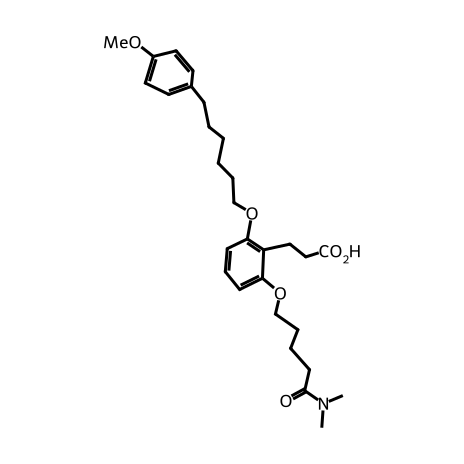 COc1ccc(CCCCCCOc2cccc(OCCCCC(=O)N(C)C)c2CCC(=O)O)cc1